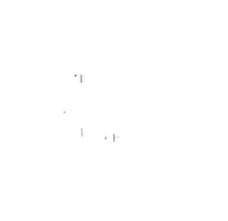 CO.NC(=O)C1CCCCC1